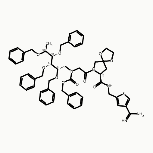 C[C@H](OCc1ccccc1)[C@H](OCc1ccccc1)[C@@H](OCc1ccccc1)[C@H](CN(CC(=O)N1CC2(C[C@H]1C(=O)NCc1cc(C(=N)N)cs1)OCCO2)C(=O)OCc1ccccc1)OCc1ccccc1